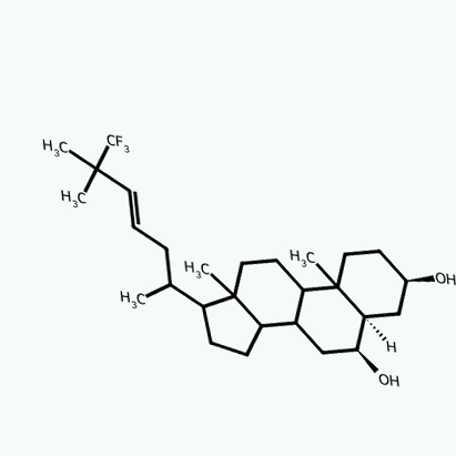 CC(C/C=C/C(C)(C)C(F)(F)F)C1CCC2C3C[C@H](O)[C@@H]4C[C@H](O)CCC4(C)C3CCC12C